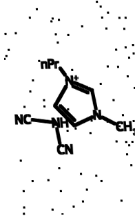 CCC[n+]1ccn(C)c1.N#CNC#N